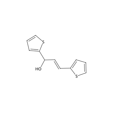 OC(/C=C/c1cccs1)c1cccs1